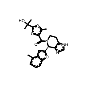 Cc1nc(C(C)(C)O)oc1C(=O)N1CCc2[nH]cnc2[C@H]1c1cc2c(C)cccc2o1